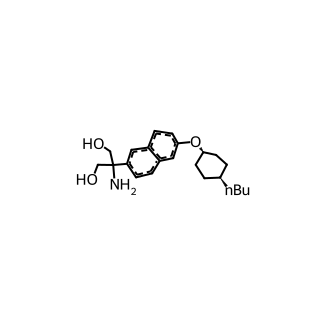 CCCC[C@H]1CC[C@@H](Oc2ccc3cc(C(N)(CO)CO)ccc3c2)CC1